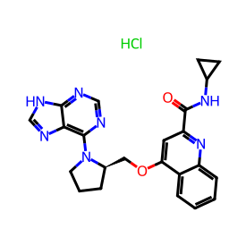 Cl.O=C(NC1CC1)c1cc(OC[C@H]2CCCN2c2ncnc3[nH]cnc23)c2ccccc2n1